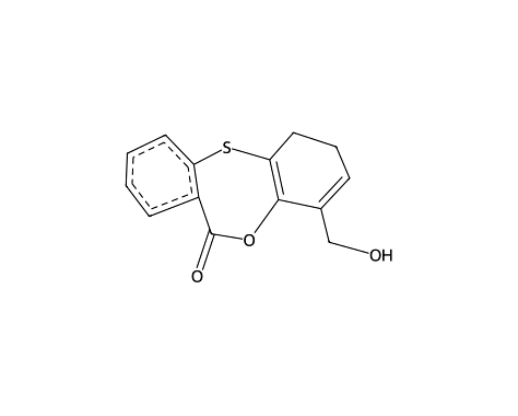 O=C1OC2=C(CCC=C2CO)Sc2ccccc21